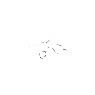 NCCC(C(=O)O)C(=O)C(C1=CCC(=O)C=C1)c1ccco1